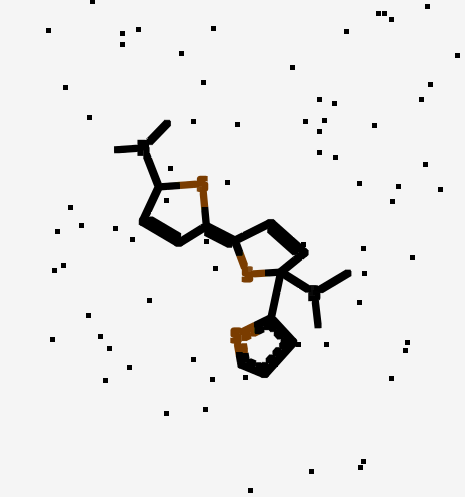 CB(C)C1C=CC(=C2C=CC(B(C)C)(c3cccs3)S2)S1